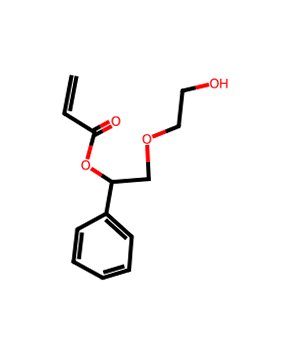 C=CC(=O)OC(COCCO)c1ccccc1